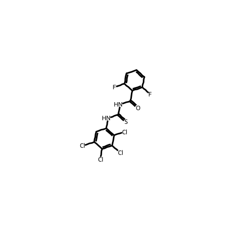 O=C(NC(=S)Nc1cc(Cl)c(Cl)c(Cl)c1Cl)c1c(F)cccc1F